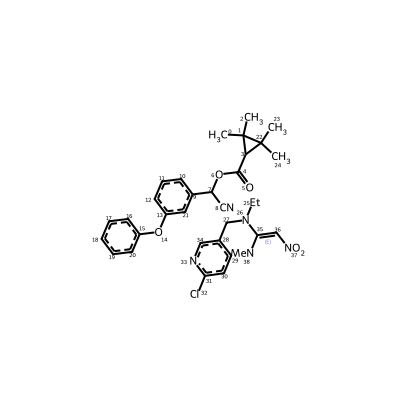 CC1(C)C(C(=O)OC(C#N)c2cccc(Oc3ccccc3)c2)C1(C)C.CCN(Cc1ccc(Cl)nc1)/C(=C/[N+](=O)[O-])NC